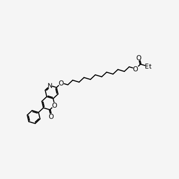 CCC(=O)OCCCCCCCCCCCCOc1cc2oc(=O)c(-c3ccccc3)cc2cn1